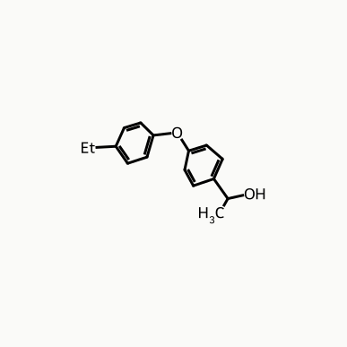 CCc1ccc(Oc2ccc(C(C)O)cc2)cc1